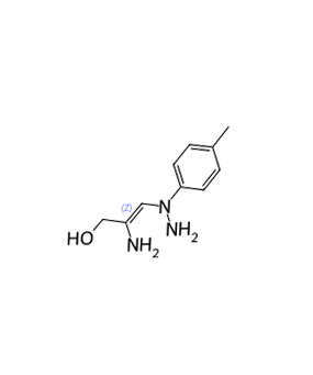 Cc1ccc(N(N)/C=C(\N)CO)cc1